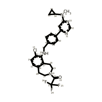 CN(c1cc(-c2ccc(CNc3c(Cl)ccc4c3CCN(C(=O)C(F)(F)F)CC4)cc2)ncn1)C1CC1